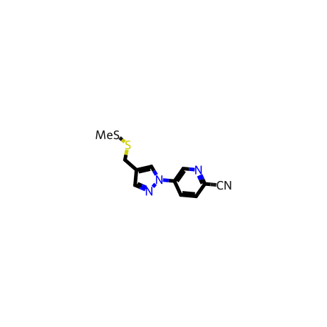 CSSCc1cnn(-c2ccc(C#N)nc2)c1